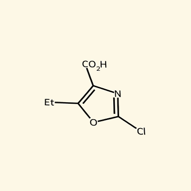 CCc1oc(Cl)nc1C(=O)O